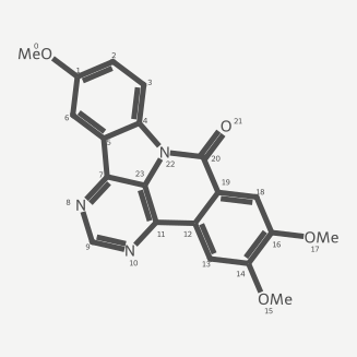 COc1ccc2c(c1)c1ncnc3c4cc(OC)c(OC)cc4c(=O)n2c31